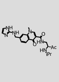 CC(=O)[C@H](CNC(=O)c1cn(C)c2cc(CNc3ncc[nH]3)ccc2c1=O)NC(C)C